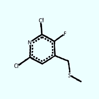 CSCc1cc(Cl)nc(Cl)c1F